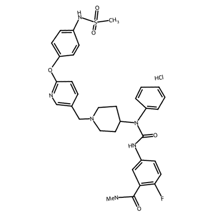 CNC(=O)c1cc(NC(=O)N(c2ccccc2)C2CCN(Cc3ccc(Oc4ccc(NS(C)(=O)=O)cc4)nc3)CC2)ccc1F.Cl